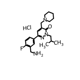 CC(C)Cn1nc(-c2ccc(F)c(CN)c2)cc(CN2CCCCC2)c1=O.Cl